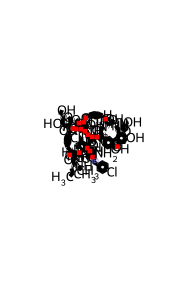 CN[C@H](CC(C)C)C(=O)N[C@H]1C(=O)N[C@@H](CC(N)=O)C(=O)N[C@H]2C(=O)N[C@H]3C(=O)N[C@H](C(=O)N[C@@H](C(=O)NO)c4cc(O)cc(O)c4-c4cc3ccc4O)[C@H](O)c3ccc(c(Cl)c3)Oc3cc2cc(c3O[C@@H]2O[C@H](CO)[C@@H](O)[C@H](O)[C@H]2O[C@H]2C[C@](C)(NCc3cncc(NC(=O)/C=C/c4ccc(Cl)cc4)c3)[C@H](O)[C@H](C)O2)Oc2ccc(cc2Cl)[C@H]1O